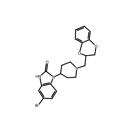 O=c1[nH]c2cc(Br)ccc2n1C1CCN(CC2COc3ccccc3O2)CC1